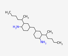 CCCCC(C)C1CC(CC2CCC(N)C(C(C)CCCC)C2)CCC1N